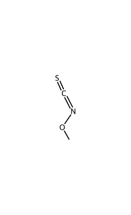 CON=C=S